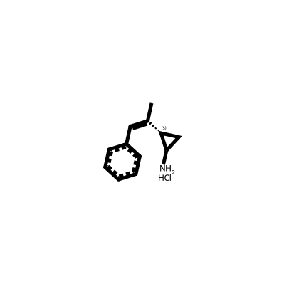 CC(=Cc1ccccc1)[C@@H]1CC1N.Cl